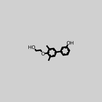 Cc1cc(-c2cccc(O)c2)cc(C)c1OCCO